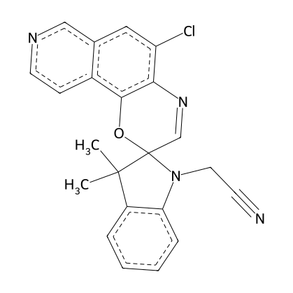 CC1(C)c2ccccc2N(CC#N)C12C=Nc1c(Cl)cc3cnccc3c1O2